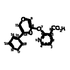 O=C(O)c1cccnc1OC1=COC=C(C2=CC=CCC2)O1